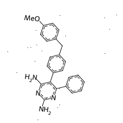 COc1ccc(Cc2ccc(-c3c(N)nc(N)nc3-c3ccccc3)cc2)cc1